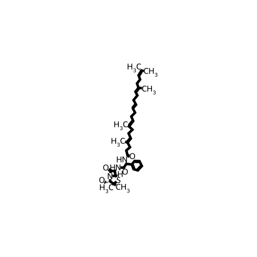 CC(C)=CCC/C(C)=C/CC/C=C/CC/C=C(\C)CC/C=C(\C)CCC(=O)N[C@H](C(=O)N[C@@H]1C(=O)N2[C@@H]1SC(C)(C)[C@@H]2C=O)c1ccccc1